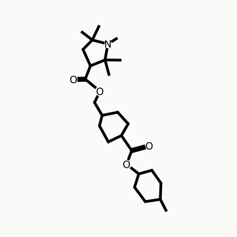 CC1CCC(OC(=O)C2CCC(COC(=O)C3CC(C)(C)N(C)C3(C)C)CC2)CC1